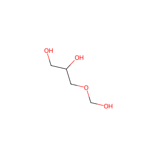 OCOCC(O)CO